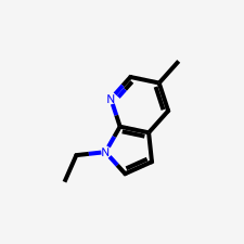 CCn1ccc2cc(C)cnc21